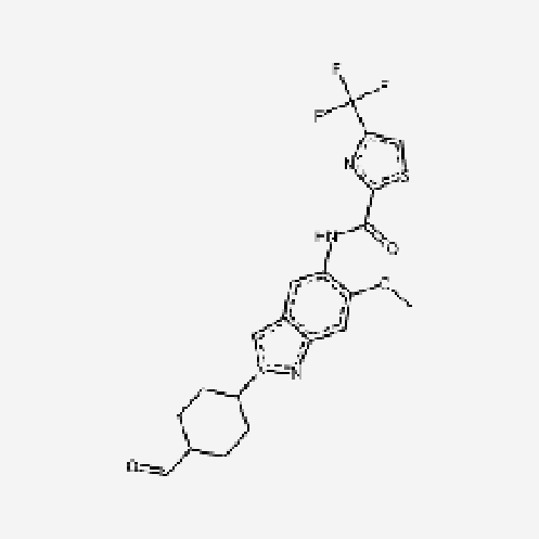 COc1cc2nn(C3CCC(C=O)CC3)cc2cc1NC(=O)c1nc(C(F)(F)F)cs1